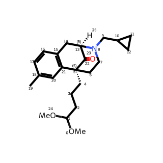 COC(CCC[C@]12CCN(CC3CC3)[C@H](Cc3ccc(C)cc31)C2=O)OC